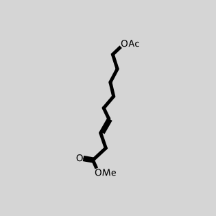 COC(=O)C/C=C/CCCCCOC(C)=O